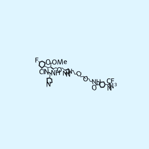 COC(=O)C1=C(COCc2cn(CCOCCOCCNC(=O)c3ccc(C4(C(F)(F)F)N=N4)cc3)nn2)NC(c2ccncc2)=NC1c1ccc(F)cc1Cl